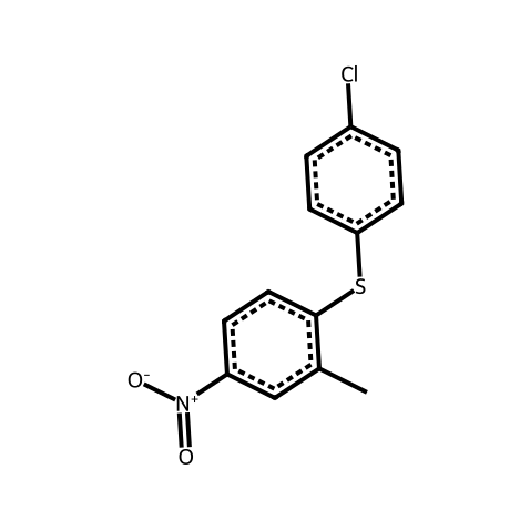 Cc1cc([N+](=O)[O-])ccc1Sc1ccc(Cl)cc1